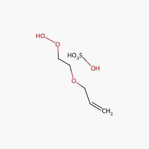 C=CCOCCOO.O=S(=O)(O)O